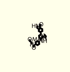 COCCN(C)C(=O)c1ccc(Nc2ccc(-c3ccc4c(c3)CNC4=O)n3ccnc23)cc1